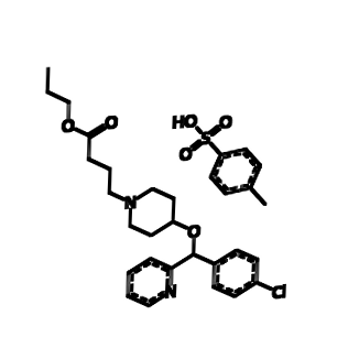 CCCOC(=O)CCCN1CCC(OC(c2ccc(Cl)cc2)c2ccccn2)CC1.Cc1ccc(S(=O)(=O)O)cc1